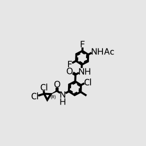 CC(=O)Nc1cc(NC(=O)c2cc(NC(=O)[C@H]3CC3(Cl)Cl)cc(C)c2Cl)c(F)cc1F